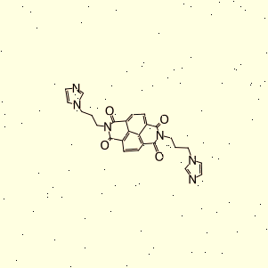 O=C1c2ccc3c4c(ccc(c24)C(=O)N1CCCn1ccnc1)C(=O)N(CCCn1ccnc1)C3=O